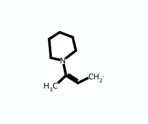 [CH2]/C=C(/C)N1CCCCC1